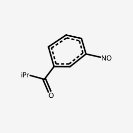 CC(C)C(=O)c1cccc(N=O)c1